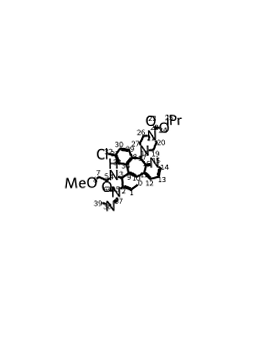 C/C=C(\C(NC(=O)COC)C1=Cc2cccnc2C(N2CCN(C(=O)OC(C)C)CC2)c2ccc(Cl)cc21)N(C)/C=N\C